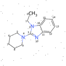 CCn1c(N2CCCCC2)nc2ccccc21